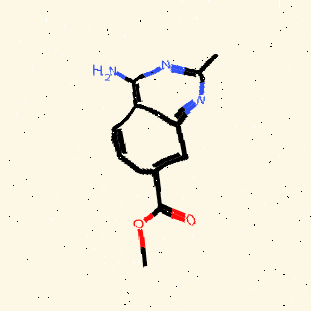 COC(=O)c1ccc2c(N)nc(C)nc2c1